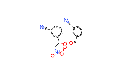 N#Cc1cccc(C(O)C[N+](=O)[O-])c1.N#Cc1cccc(C=O)c1